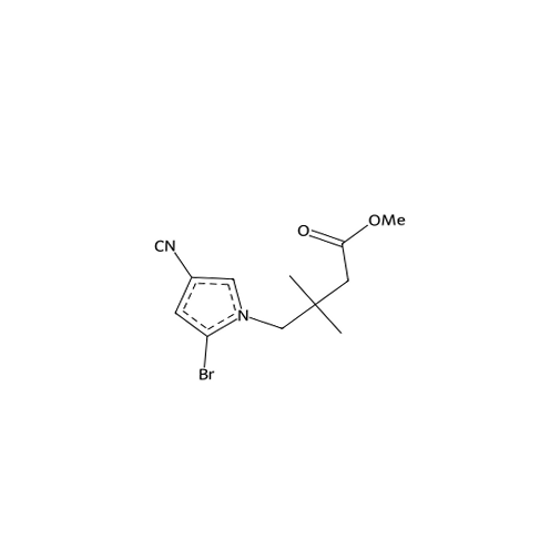 [C-]#[N+]c1cc(Br)n(CC(C)(C)CC(=O)OC)c1